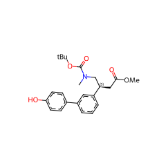 COC(=O)C[C@H](CN(C)C(=O)OC(C)(C)C)c1cccc(-c2ccc(O)cc2)c1